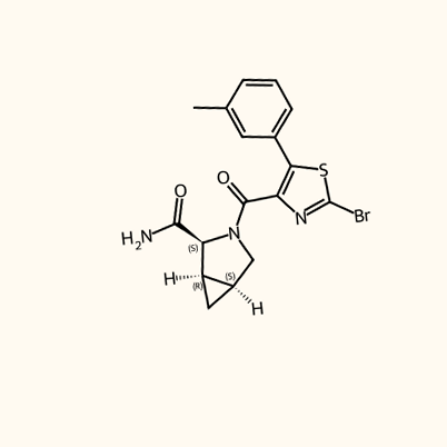 Cc1cccc(-c2sc(Br)nc2C(=O)N2C[C@H]3C[C@H]3[C@H]2C(N)=O)c1